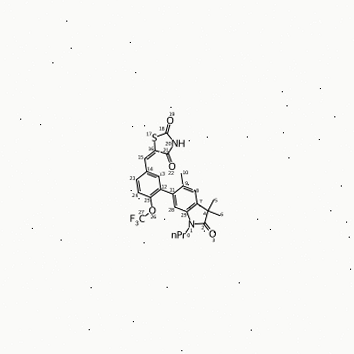 CCCN1C(=O)C(C)(C)c2cc(C)c(-c3cc(C=C4SC(=O)NC4=O)ccc3OC(F)(F)F)cc21